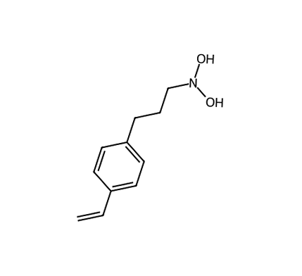 C=Cc1ccc(CCCN(O)O)cc1